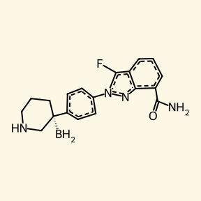 B[C@@]1(c2ccc(-n3nc4c(C(N)=O)cccc4c3F)cc2)CCCNC1